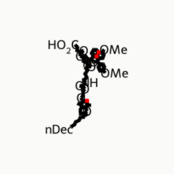 CCCCCCCCCCCCCCCCC1(C)CCc2c(C)c(OCCOC(=O)NCCCCCC(=O)N3CC(OC(=O)CCC(=O)O)CC3C(OC(c3ccc(OC)cc3)c3ccc(OC)cc3)c3ccccc3)c(C)c(C)c2O1